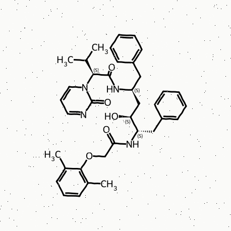 Cc1cccc(C)c1OCC(=O)N[C@@H](Cc1ccccc1)[C@@H](O)C[C@H](Cc1ccccc1)NC(=O)[C@H](C(C)C)n1cccnc1=O